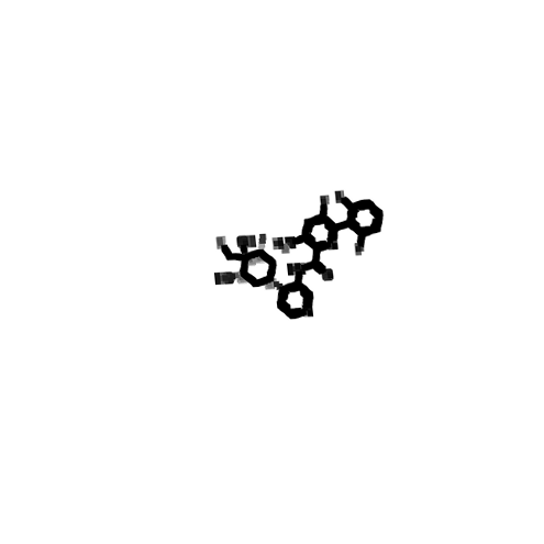 C[C@@H]1C[C@H](c2ccncc2NC(=O)c2nc(-c3c(F)cccc3F)c(F)cc2N)C[C@H](O)[C@]1(O)CF